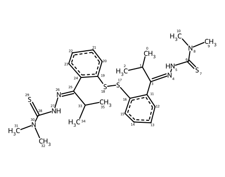 CC(C)/C(=N\NC(=S)N(C)C)c1ccccc1SSc1ccccc1/C(=N/NC(=S)N(C)C)C(C)C